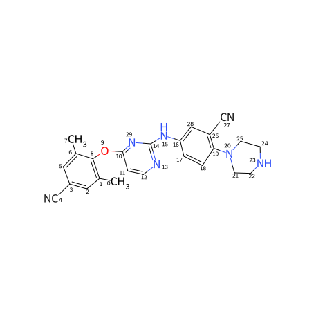 Cc1cc(C#N)cc(C)c1Oc1ccnc(Nc2ccc(N3CCNCC3)c(C#N)c2)n1